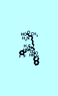 CC(CCCCC[C@@H](COC(=O)Nc1cc2ccccc2cn1)N(C)C(=O)NCc1cccc(F)c1F)[C@H](N)C(=O)O